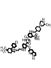 C[C@@H]1CN(C2CCC(CNc3ccc(S(=O)(=O)NC(=O)c4ccc(NCCNCC5=C(c6ccc(Cl)cc6)CC(C)(C)CC5)cc4Oc4cnc5[nH]ccc5c4)cc3[NH+]([O-])O)CC2)CCN1